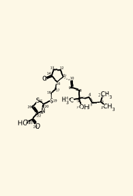 CC(C)CCC(C)(O)CC=C[C@H]1CCC(=O)[C@@H]1CCSc1nc(C(=O)O)cs1